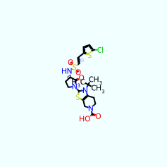 CC(C)(C)N1C2=C(CN(C(=O)O)CC2)SC1N1CC[C@H](NS(=O)(=O)/C=C/c2ccc(Cl)s2)C1=O